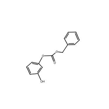 O=C(OCc1ccccc1)Oc1cccc(O)c1